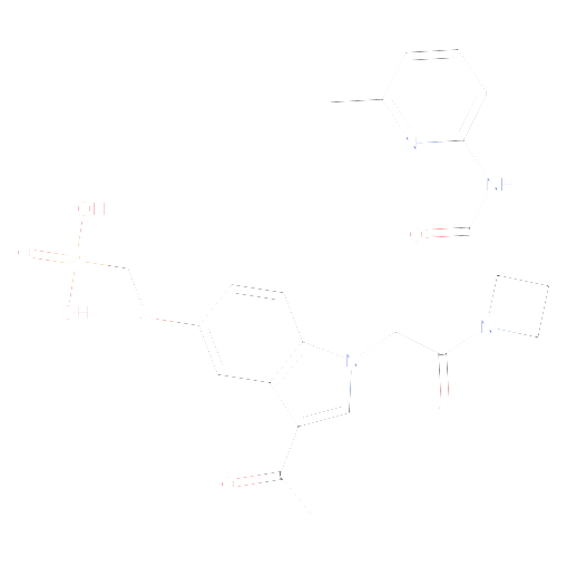 CC(=O)c1cn(CC(=O)N2CC[C@H]2C(=O)Nc2cccc(C)n2)c2ccc(OCP(=O)(O)O)cc12